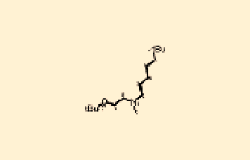 CN(CCCCCC(C)(C)C)CCOC(C)(C)C